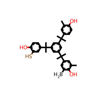 Bc1cc(C(C)(C)c2cc(C(C)(C)c3ccc(O)c(C)c3)cc(C(C)(C)c3ccc(O)c(S)c3)c2)cc(C)c1O